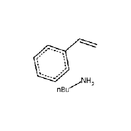 C=Cc1ccccc1.CCCCN